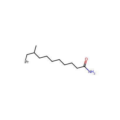 CC(C)CC(C)CCCCCCCC(N)=O